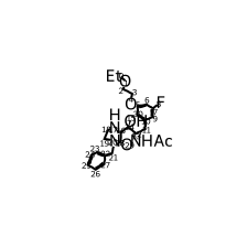 CCOCCOc1cc(F)cc(C[C@H](NC(C)=O)[C@H](O)[C@@H]2NCCN(Cc3ccccc3)C2=O)c1